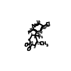 C[C@@H]1CS(=O)(=O)CCC1(F)c1cc(Cl)cnc1F